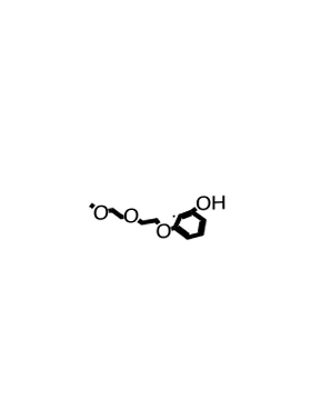 COCCOCCOc1[c]c(O)ccc1